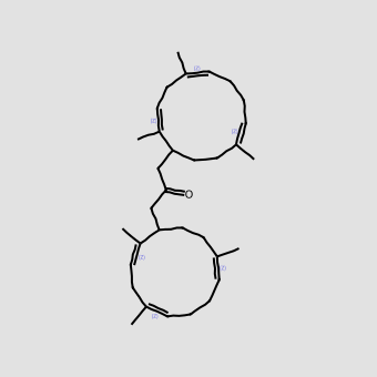 C/C1=C/CC/C=C(/C)CCC(CC(=O)CC2CC/C(C)=C\CC/C=C(/C)C/C=C\2C)/C(C)=C\C1